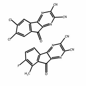 Cc1c(F)ccc2c1C(=O)c1nc(C#N)c(C#N)nc1-2.N#Cc1nc2c(nc1C#N)-c1cc(Cl)c(Cl)cc1C2=O